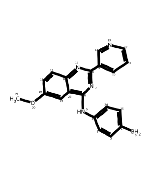 Bc1ccc(Nc2nc(-c3cccnc3)nc3ccc(OC)cc23)cc1